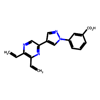 C=Cc1ncc(-c2cnn(-c3cccc(C(=O)O)c3)c2)nc1C=C